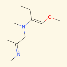 CC/C(=C\OC)N(C)C/C(C)=N/C